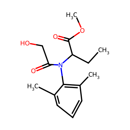 CCC(C(=O)OC)N(C(=O)CO)c1c(C)cccc1C